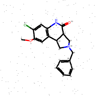 COc1cc2c(cc1Cl)NC(=O)C1CN(Cc3ccccc3)CC21